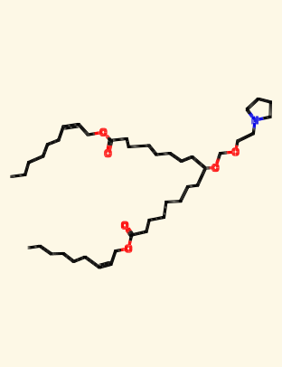 CCCCCC/C=C\COC(=O)CCCCCCCC(CCCCCCCC(=O)OC/C=C\CCCCCC)OCOCCN1CCCC1